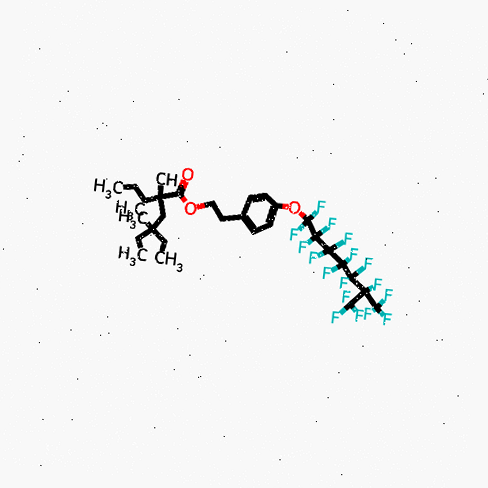 CCC(C)C(C)(CC(C)(CC)CC)C(=O)OCCc1ccc(OC(F)(F)C(F)(F)C(F)(F)C(F)(F)C(F)(F)C(F)(C(F)(F)F)C(F)(F)F)cc1